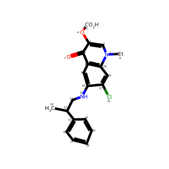 CCn1cc(OC(=O)O)c(=O)c2cc(NCC(C)c3ccccc3)c(Cl)cc21